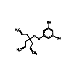 C=CCC(CC=C)(CC=C)OOc1cc(O)cc(O)c1